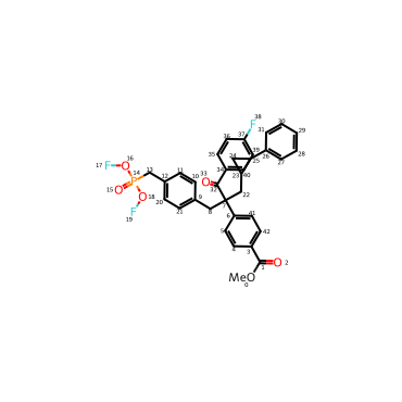 COC(=O)c1ccc(C(Cc2ccc(CP(=O)(OF)OF)cc2)(CC2CC2c2ccccc2)C(=O)c2ccc(F)cc2)cc1